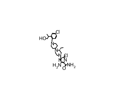 CC[C@H]1CN(c2nc(N)c(C(N)=O)nc2Cl)CCN1C1CCN(Cc2ccc(Cl)cc2C(C)CO)CC1